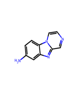 Nc1ccc2c(c1)nc1cnccn12